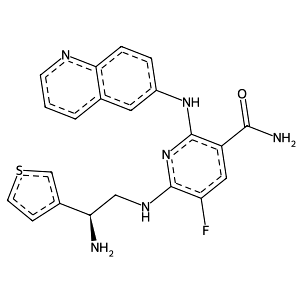 NC(=O)c1cc(F)c(NC[C@@H](N)c2ccsc2)nc1Nc1ccc2ncccc2c1